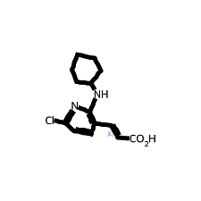 O=C(O)/C=C/c1ccc(Cl)nc1NC1CCCCC1